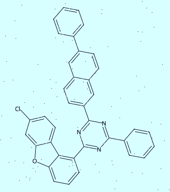 Clc1ccc2c(c1)oc1cccc(-c3nc(-c4ccccc4)nc(-c4ccc5cc(-c6ccccc6)ccc5c4)n3)c12